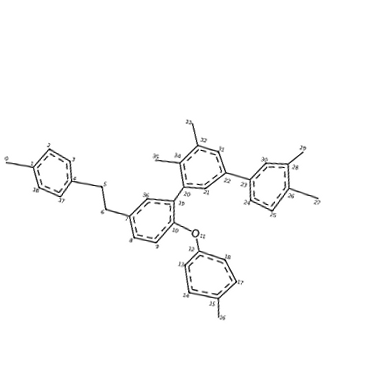 Cc1ccc(CCc2ccc(Oc3ccc(C)cc3)c(-c3cc(-c4ccc(C)c(C)c4)cc(C)c3C)c2)cc1